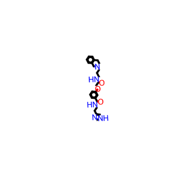 O=C(COc1cccc(C(=O)NCCc2c[nH]cn2)c1)NCCCN1CCc2ccccc2C1